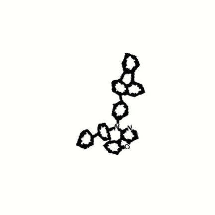 c1ccc(-c2ccc(N(c3ccc(-c4ccc5c6c(cccc46)-c4ccccc4-5)cc3)c3nccc4oc5ccccc5c34)cc2)cc1